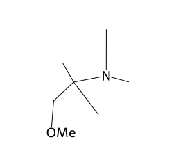 COCC(C)(C)N(C)C